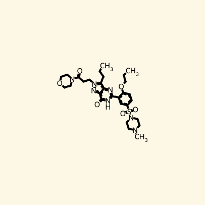 CCCOc1ccc(S(=O)(=O)N2CCN(C)CC2)cc1-c1nc2c(CCC)n(CCC(=O)N3CCOCC3)nc2c(=O)[nH]1